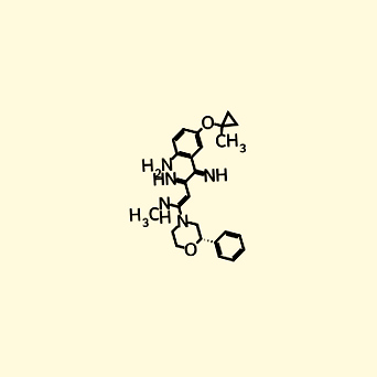 CN/C(=C\C(=N)C(=N)c1cc(OC2(C)CC2)ccc1N)N1CCO[C@@H](c2ccccc2)C1